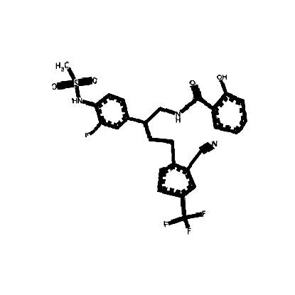 CS(=O)(=O)Nc1ccc(C(CCc2ccc(C(F)(F)F)cc2C#N)CNC(=O)c2ccccc2O)cc1F